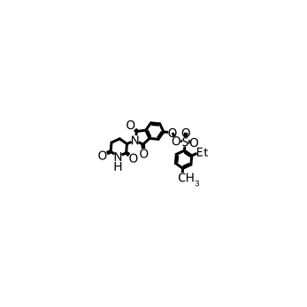 CCc1cc(C)ccc1S(=O)(=O)OOc1ccc2c(c1)C(=O)N(C1CCC(=O)NC1=O)C2=O